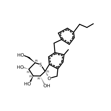 CCCc1ccc(Cc2cc3c(cc2C)CO[C@]32S[C@H](CO)[C@@H](O)[C@H](O)[C@H]2O)cc1